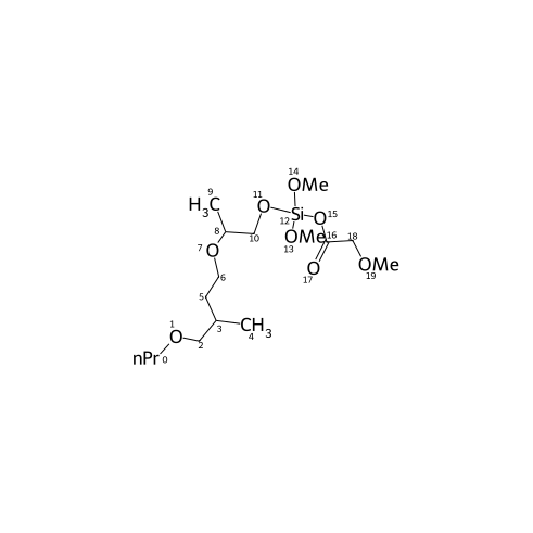 CCCOCC(C)CCOC(C)CO[Si](OC)(OC)OC(=O)COC